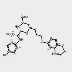 CO[C@H](C)CN(CCCCc1ccc2c(n1)NCCC2)CC[C@H](Nc1ncc(Br)cn1)C(=O)O